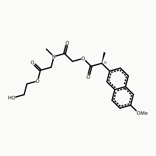 COc1ccc2cc([C@H](C)C(=O)OCC(=O)N(C)CC(=O)OCCO)ccc2c1